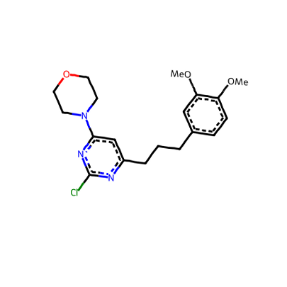 COc1ccc(CCCc2cc(N3CCOCC3)nc(Cl)n2)cc1OC